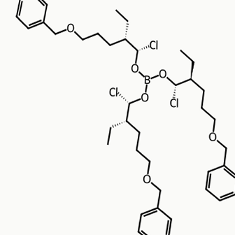 CC[C@@H](CCCOCc1ccccc1)[C@H](Cl)OB(O[C@@H](Cl)[C@@H](CC)CCCOCc1ccccc1)O[C@@H](Cl)[C@@H](CC)CCCOCc1ccccc1